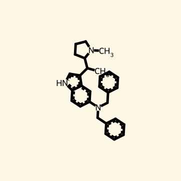 CC(c1c[nH]c2ccc(N(Cc3ccccc3)Cc3ccccc3)cc12)C1CCCN1C